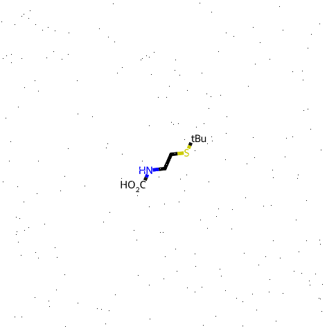 CC(C)(C)SCCNC(=O)O